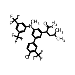 CC(=O)C(CC(C)C)c1cc(-c2ccc(Cl)c(C(F)(F)F)c2)cc(N(C)c2cc(C(F)(F)F)cc(C(F)(F)F)c2)c1